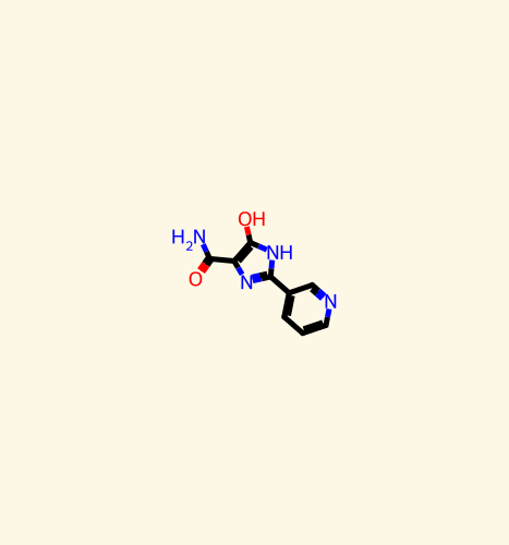 NC(=O)c1nc(-c2cccnc2)[nH]c1O